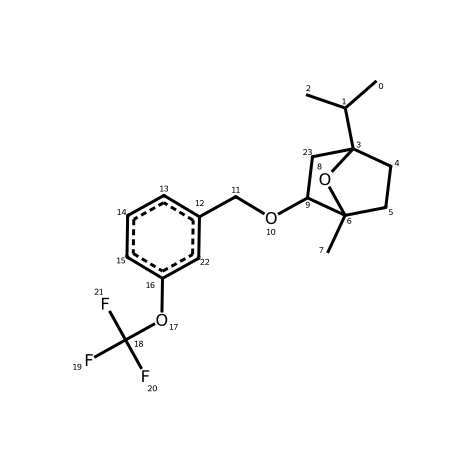 CC(C)C12CCC(C)(O1)C(OCc1cccc(OC(F)(F)F)c1)C2